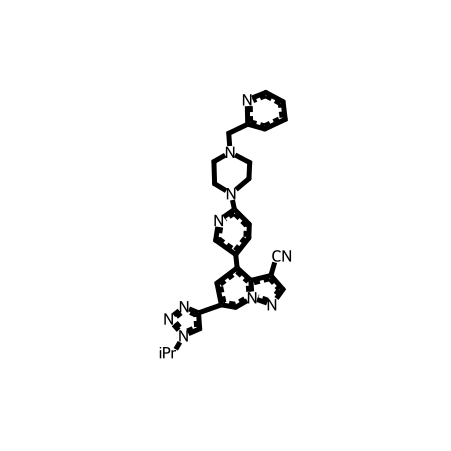 CC(C)n1cc(-c2cc(-c3ccc(N4CCN(Cc5ccccn5)CC4)nc3)c3c(C#N)cnn3c2)nn1